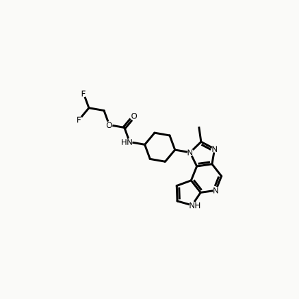 Cc1nc2cnc3[nH]ccc3c2n1C1CCC(NC(=O)OCC(F)F)CC1